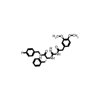 COc1ccc(CC(=O)NC(=N)N[C@H](Cc2ccccc2)C(=O)NCc2ccc(F)cc2)cc1OC